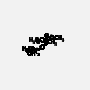 COc1ccc2c(C(=O)c3ccc(C)cc3)c(C)n(Cc3ccc(C=CCOC(C)(C)C(=O)O)cc3)c2c1